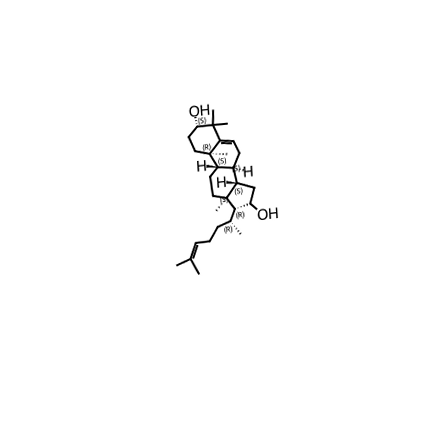 CC(C)=CCC[C@@H](C)[C@H]1C(O)C[C@H]2[C@@H]3CC=C4C(C)(C)[C@@H](O)CC[C@]4(C)[C@H]3CC[C@]12C